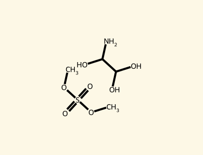 COS(=O)(=O)OC.NC(O)C(O)O